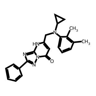 Cc1cccc(N(Cc2cc(=O)n3nc(-c4ccccc4)nc3[nH]2)C2CC2)c1C